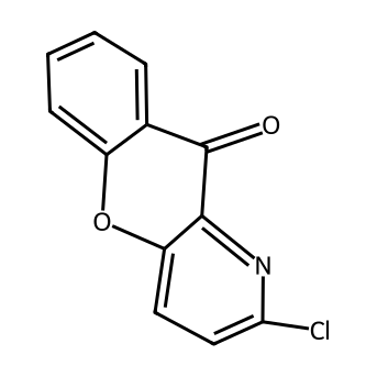 O=c1c2ccccc2oc2ccc(Cl)nc12